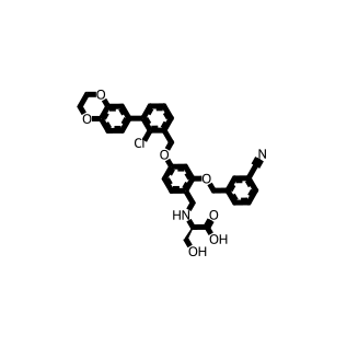 N#Cc1cccc(COc2cc(OCc3cccc(-c4ccc5c(c4)OCCO5)c3Cl)ccc2CN[C@H](CO)C(=O)O)c1